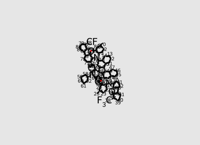 Cc1ccc(N(c2cc3c(c4ccccc24)-c2c(cc(N(c4ccc(C)cc4C)c4cccc5c4oc4c(C(F)(F)F)cccc45)c4ccccc24)C32c3ccccc3N(c3ccccc3)c3ccccc32)c2cccc3c2oc2c(C(F)(F)F)cccc23)c(C)c1